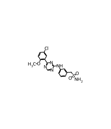 COc1ccc(Cl)cc1-c1ncnc(Nc2cccc(CS(N)(=O)=O)c2)n1